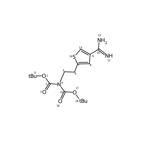 CC(C)(C)OC(=O)N(CCc1cc(C(=N)N)cs1)C(=O)OC(C)(C)C